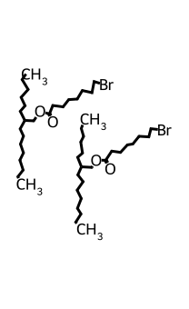 CCCCCCCCC(CCCCCC)COC(=O)CCCCCCCBr.CCCCCCCCC(CCCCCC)COC(=O)CCCCCCCBr